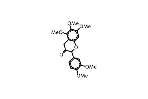 COc1ccc(C2Oc3cc(OC)c(OC)c(OC)c3CC2=O)cc1OC